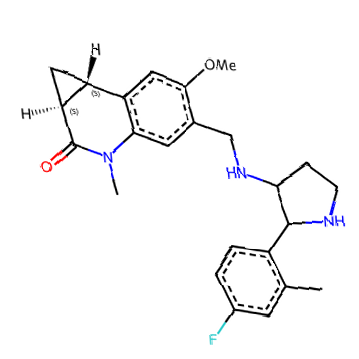 COc1cc2c(cc1CNC1CCNC1c1ccc(F)cc1C)N(C)C(=O)[C@H]1C[C@H]21